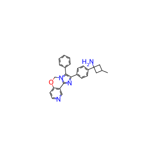 CC1CC(N)(c2ccc(-c3nc4n(c3-c3ccccc3)COc3ccncc3-4)cc2)C1